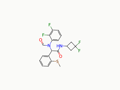 CSc1ccccc1C(C(=O)NC1CC(F)(F)C1)N(C=O)c1cccc(F)c1F